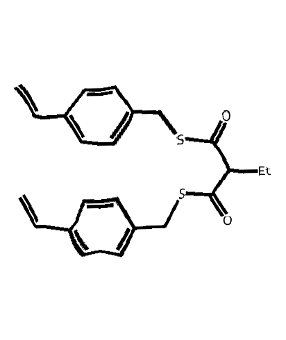 C=Cc1ccc(CSC(=O)C(CC)C(=O)SCc2ccc(C=C)cc2)cc1